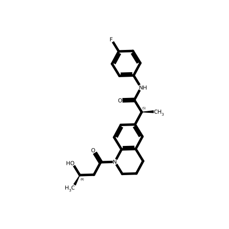 C[C@H](C(=O)Nc1ccc(F)cc1)c1ccc2c(c1)CCCN2C(=O)C[C@@H](C)O